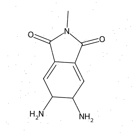 CN1C(=O)C2=CC(N)C(N)C=C2C1=O